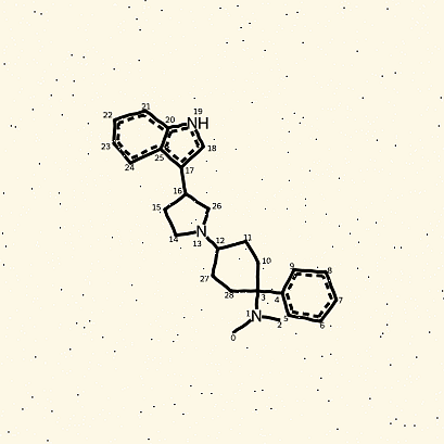 CN(C)C1(c2ccccc2)CCC(N2CCC(c3c[nH]c4ccccc34)C2)CC1